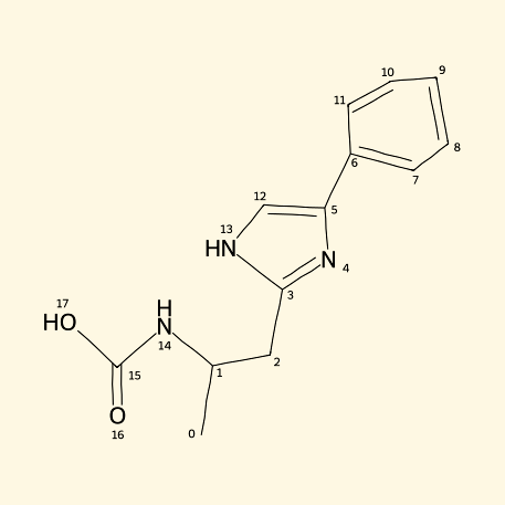 CC(Cc1nc(-c2ccccc2)c[nH]1)NC(=O)O